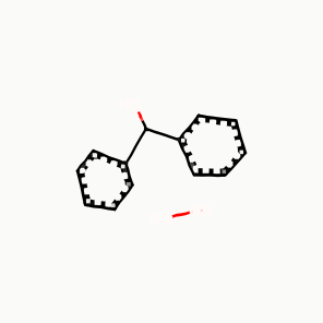 OC(c1ccccc1)c1ccccc1.OO